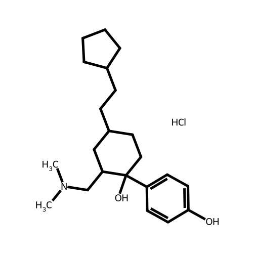 CN(C)CC1CC(CCC2CCCC2)CCC1(O)c1ccc(O)cc1.Cl